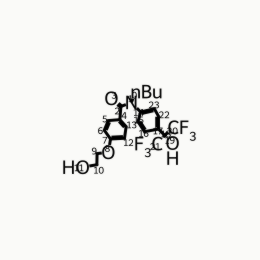 CCCCN(C(=O)c1ccc(OCCO)cc1)c1ccc(C(O)(C(F)(F)F)C(F)(F)F)cc1